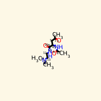 CC(=O)CC(NC(C)=O)C(=O)NCCN(C)C